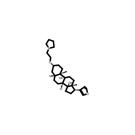 C[C@]12CC[C@H](OCCN3CCCC3)C[C@H]1CC[C@@H]1[C@@H]2CC[C@]2(C)[C@@H](c3ccoc3)CC[C@]12O